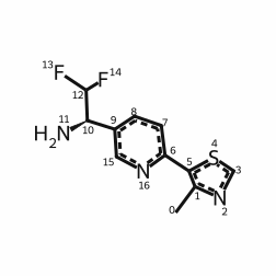 Cc1ncsc1-c1ccc([C@@H](N)C(F)F)cn1